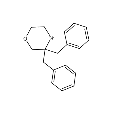 c1ccc(CC2(Cc3ccccc3)COCC[N]2)cc1